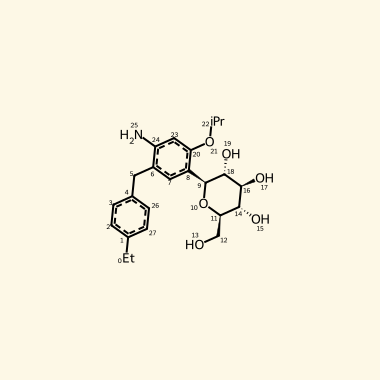 CCc1ccc(Cc2cc([C@@H]3O[C@H](CO)[C@@H](O)[C@H](O)[C@H]3O)c(OC(C)C)cc2N)cc1